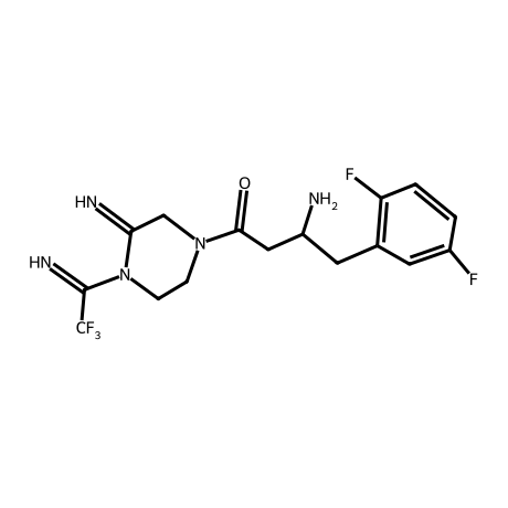 N=C1CN(C(=O)CC(N)Cc2cc(F)ccc2F)CCN1C(=N)C(F)(F)F